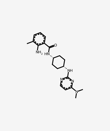 Cc1cccc(C(=O)N[C@H]2CC[C@@H](Nc3nccc(N(C)C)n3)CC2)c1N